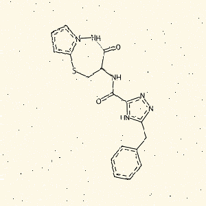 O=C(NC1CSc2cccn2NC1=O)c1nnc(Cc2ccccc2)[nH]1